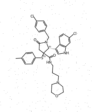 Cc1ccc(S[C@@]2(C(=O)NCCCN3CCOCC3)CC(=O)N(Cc3ccc(Cl)cc3)[C@@H]2c2c[nH]c3cc(Cl)ccc23)cc1